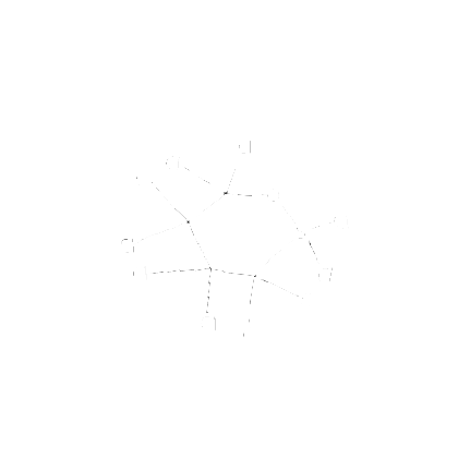 ClC1(Cl)O[Si](Cl)(Cl)C(Cl)(Cl)C(Cl)(Cl)C1(Cl)Cl